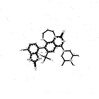 CC1CN(c2nc(=O)n3c4c(c(-c5ccc(F)c6[nH]c(=O)[nH]c56)c(C(F)(F)F)cc24)SCCC3)CC(C)N1C